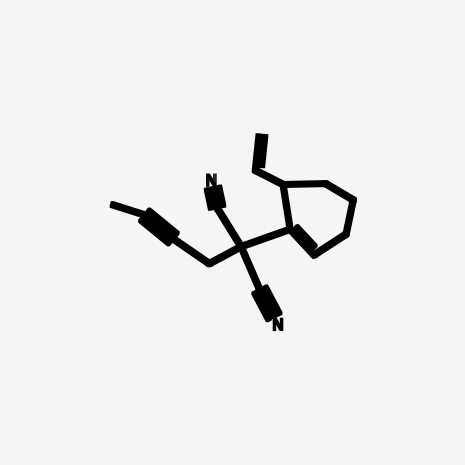 C=CC1CCCC=C1C(C#N)(C#N)CC#CC